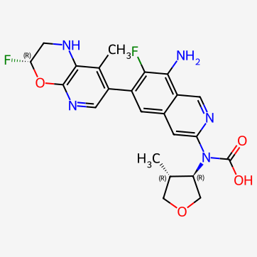 Cc1c(-c2cc3cc(N(C(=O)O)[C@H]4COC[C@@H]4C)ncc3c(N)c2F)cnc2c1NC[C@@H](F)O2